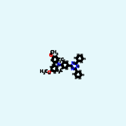 COc1ccc2c(c1)c1cc(OC)ccc1n2-c1c(C)cc(-c2nc(-c3ccccc3)nc(-c3ccccc3)n2)cc1C